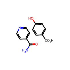 NC(=O)c1ccncc1.O=C(O)c1ccc(O)cc1